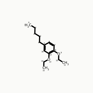 [CH2]CCCCc1ccc(OCC)c(OCC)c1